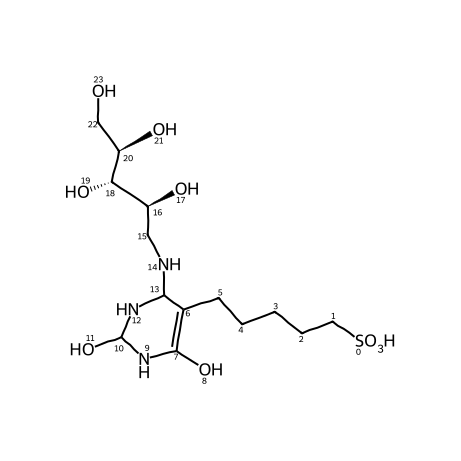 O=S(=O)(O)CCCCCC1=C(O)NC(O)NC1NC[C@H](O)[C@H](O)[C@H](O)CO